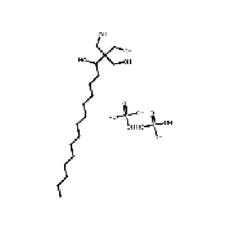 CCCCCCCCCCCCCC(O)C(CO)(CO)CO.O=P(O)(O)O.O=P(O)(O)O